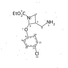 CCOC(=O)N1CC(CN)C1Oc1ccc(Cl)cc1